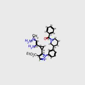 CCOC(=O)c1cnn(-c2cccc(C3CCCN(C(=O)c4ccccc4)C3)c2)c1C1CC1/C(N)=C/N(C)N